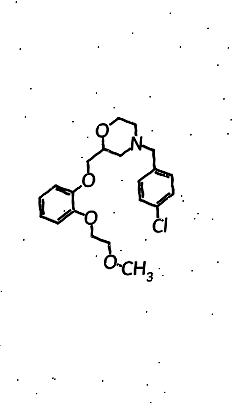 COCCOc1ccccc1OCC1CN(Cc2ccc(Cl)cc2)CCO1